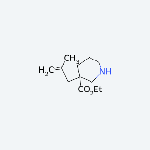 C=C(C)CC1(C(=O)OCC)CCCNC1